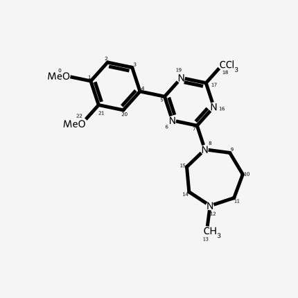 COc1ccc(-c2nc(N3CCCN(C)CC3)nc(C(Cl)(Cl)Cl)n2)cc1OC